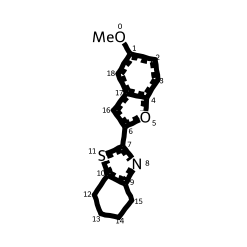 COc1ccc2oc(-c3nc4c(s3)CCCC4)cc2c1